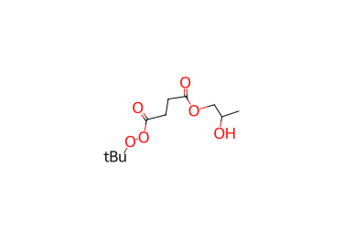 CC(O)COC(=O)CCC(=O)OOC(C)(C)C